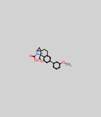 COc1cccc(-c2ccc3c(c2)CCC2(CC2)[C@]3(C=O)NC(=O)O)c1